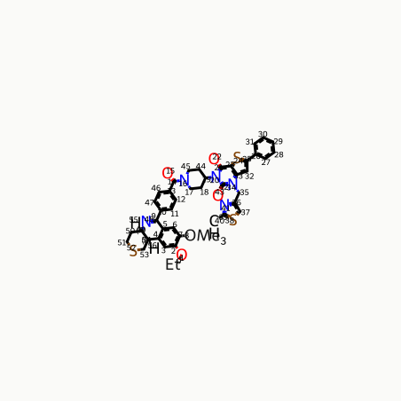 CCOc1cc2c(cc1OC)C(c1ccc(C(=O)N3CCC(n4c(=O)c5sc(-c6ccccc6)cc5n(Cc5csc(C)n5)c4=O)CC3)cc1)=N[C@@H]1CCSC[C@H]21